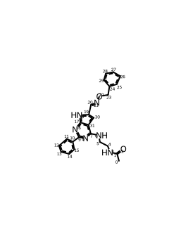 CC(=O)NCCNc1nc(-c2ccccc2)nc2[nH]c(C=NOCc3ccccc3)cc12